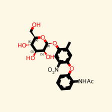 CC(=O)Nc1ccccc1Oc1cc(C)c(O[C@H]2O[C@H](CO)[C@@H](O)[C@H](O)[C@@H]2O)cc1[N+](=O)[O-]